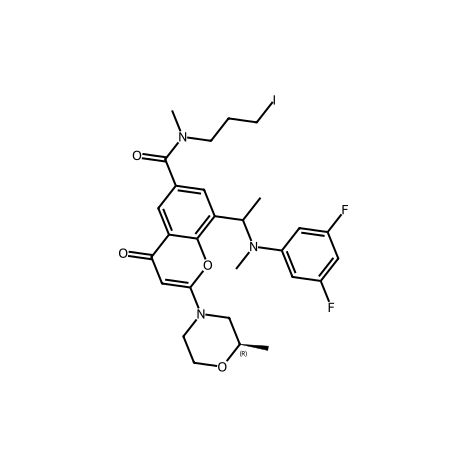 CC(c1cc(C(=O)N(C)CCCI)cc2c(=O)cc(N3CCO[C@H](C)C3)oc12)N(C)c1cc(F)cc(F)c1